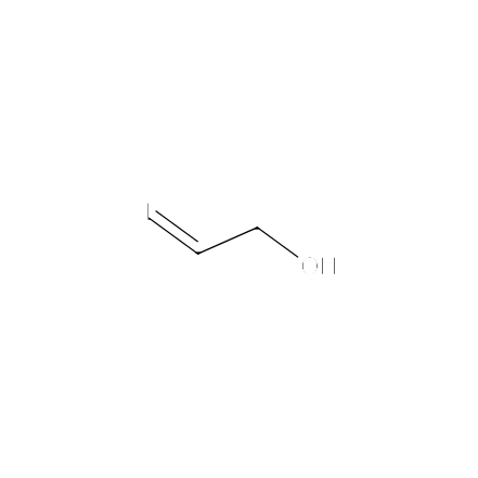 OCC=[I]